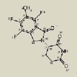 Cc1c(F)c(F)c2c(c1F)C(=O)N([C@H]1CCC(=O)NC1=O)C2